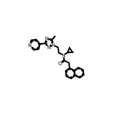 Cc1nc(-c2ccncc2)nn1CCN(C(=O)Cc1cccc2ccccc12)C1CC1